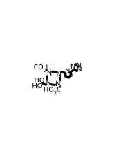 O=C(O)CN1CCN(Cc2cccc(-c3cnncn3)n2)CCN(CC(=O)O)CCN(CC(O)O)CC1